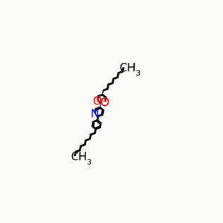 CCCCCCCCCc1ccc(-c2ccc([C@H]3OC[C@H](CCCCCCCCC)CO3)cn2)cc1